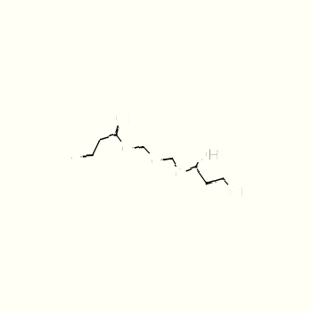 OCCC(O)OCOCOC(O)CCO